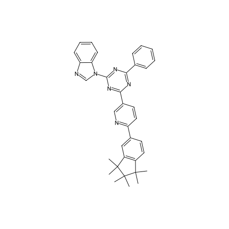 CC1(C)c2ccc(-c3ccc(-c4nc(-c5ccccc5)nc(-n5cnc6ccccc65)n4)cn3)cc2C(C)(C)C1(C)C